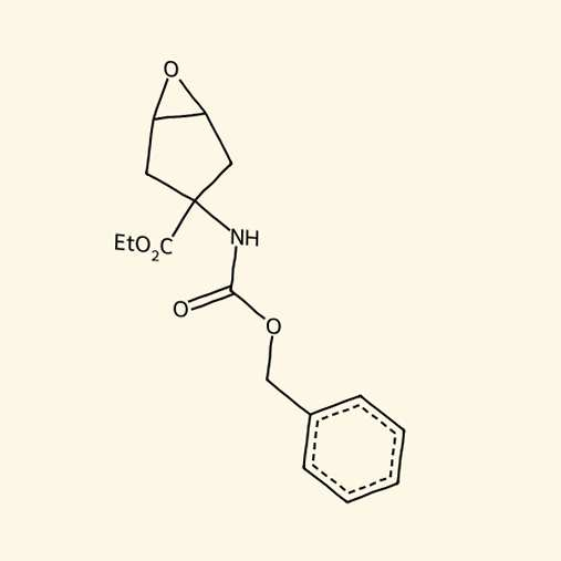 CCOC(=O)C1(NC(=O)OCc2ccccc2)CC2OC2C1